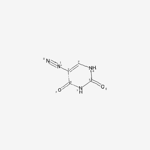 N#[N+]c1c[nH]c(=O)[nH]c1=O